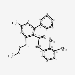 CCCOc1cc(C)nc(-c2ccccc2)c1C(=O)Nc1cccc(C)c1C